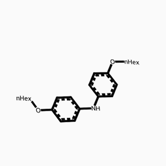 CCCCCCOc1ccc(Nc2ccc(OCCCCCC)cc2)cc1